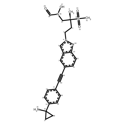 C[C@@](CCn1cc2cc(C#Cc3ccc(C4(N)CC4)cc3)ccc2n1)(CN(O)C=O)S(C)(=O)=O